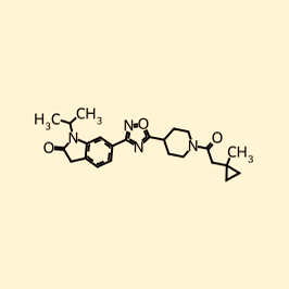 CC(C)N1C(=O)Cc2ccc(-c3noc(C4CCN(C(=O)CC5(C)CC5)CC4)n3)cc21